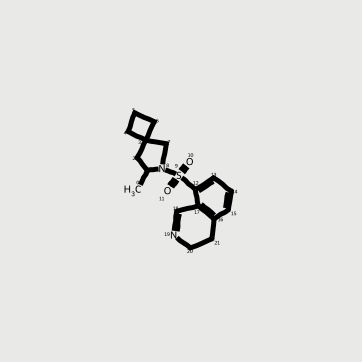 CC1CC2(CCC2)CN1S(=O)(=O)c1cccc2c1C=NCC2